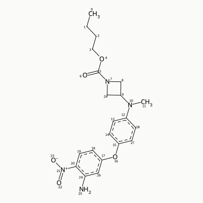 CCCCOC(=O)N1CC(N(C)c2ccc(Oc3ccc([N+](=O)[O-])c(N)c3)cc2)C1